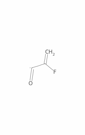 C=C(F)[C]=O